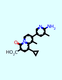 Cc1cc(-c2ccn3c(=O)c(C(=O)O)cc(C4CC4)c3c2C)cnc1N